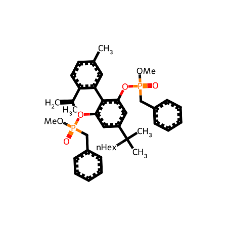 C=C(C)c1ccc(C)cc1-c1c(OP(=O)(Cc2ccccc2)OC)cc(C(C)(C)CCCCCC)cc1OP(=O)(Cc1ccccc1)OC